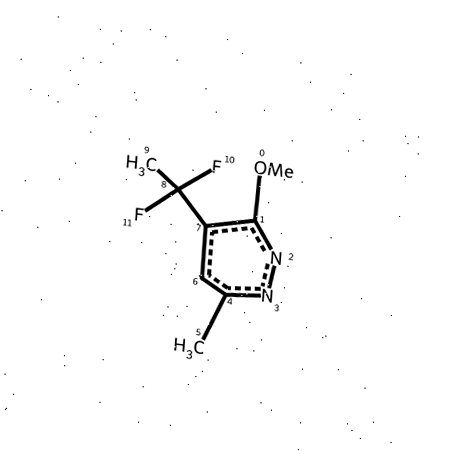 COc1nnc(C)cc1C(C)(F)F